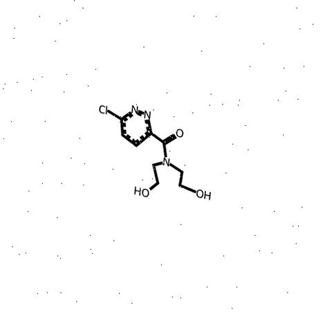 O=C(c1ccc(Cl)nn1)N(CCO)CCO